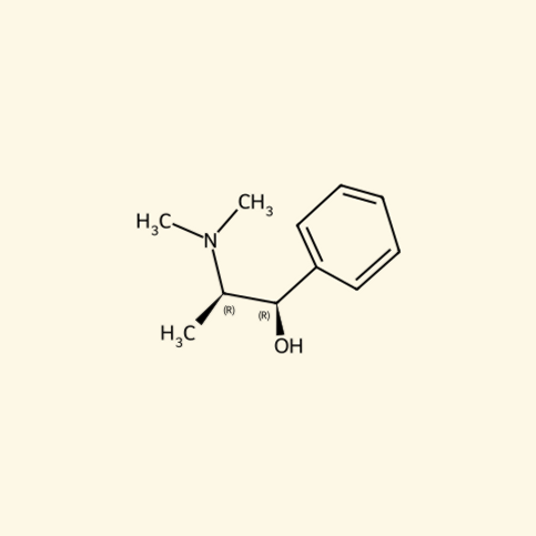 C[C@H]([C@H](O)c1ccccc1)N(C)C